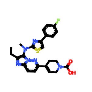 CCc1nc2ccc(C3=CCN(C(=O)O)CC3)nn2c1N(C)c1nc(-c2ccc(F)cc2)cs1